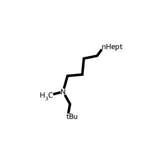 CCCCCCCCCCCN(C)CC(C)(C)C